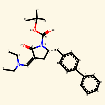 CCN(/C=C1/C[C@@H](Cc2ccc(-c3ccccc3)cc2)N(C(=O)OC(C)(C)C)C1=O)CC